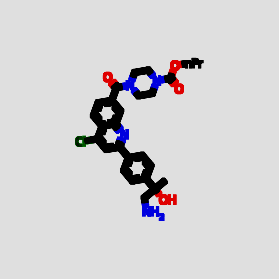 CCCOC(=O)N1CCN(C(=O)c2ccc3c(Cl)cc(-c4ccc(C(C)(O)CN)cc4)nc3c2)CC1